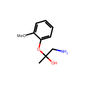 COc1ccccc1OC(C)(O)CN